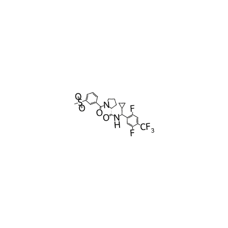 CS(=O)(=O)c1cccc(C(=O)N2CCC[C@@H]2C(=O)NC(c2cc(F)c(C(F)(F)F)cc2F)C2CC2)c1